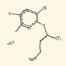 CNCCC(Oc1nc(C)c(F)cc1C#N)C(F)(F)F.Cl